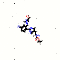 Cc1nc(C=O)cn1Cc1cc(C#N)ccc1-c1ncc(CCNC(=O)OC(C)(C)C)cn1